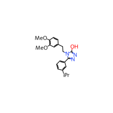 COc1ccc(CCn2c(O)nnc2-c2cccc(C(C)C)c2)cc1OC